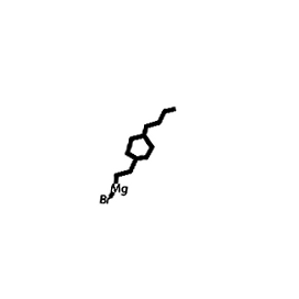 CCCCC1CCC(C[CH2][Mg][Br])CC1